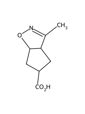 CC1=NOC2CC(C(=O)O)CC12